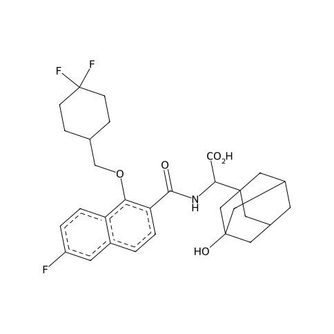 O=C(NC(C(=O)O)C12CC3CC(CC(O)(C3)C1)C2)c1ccc2cc(F)ccc2c1OCC1CCC(F)(F)CC1